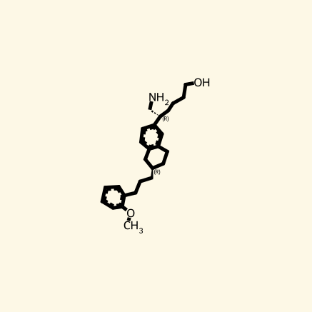 COc1ccccc1CCC[C@@H]1CCc2cc([C@H](CN)CCCCO)ccc2C1